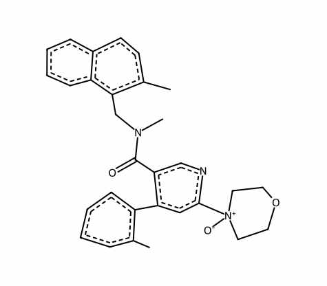 Cc1ccccc1-c1cc([N+]2([O-])CCOCC2)ncc1C(=O)N(C)Cc1c(C)ccc2ccccc12